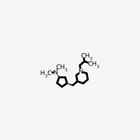 CC(C)CN1CCCC(C[C@H]2CC[C@H](N(C)C)C2)C1